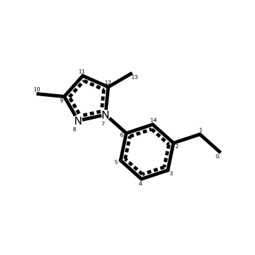 CCc1cccc(-n2nc(C)cc2C)c1